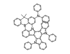 CC1(C)c2ccccc2B2c3c(cc(N(c4ccccc4)c4ccccc4)cc31)-n1c3c2cccc3c2c3c(c4ccccc4n3-c3ccccc3)c3c(c4ccccc4n3-c3ccccc3)c21